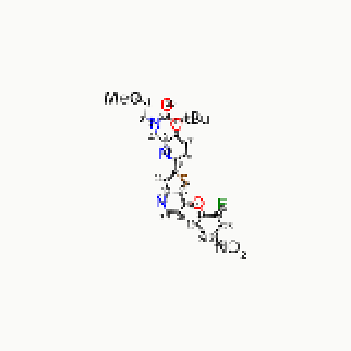 COCCN(Cc1cccc(-c2cc3nccc(Oc4ccc([N+](=O)[O-])cc4F)c3s2)n1)C(=O)OC(C)(C)C